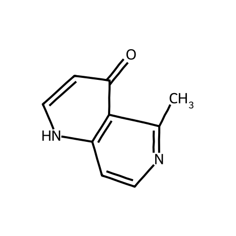 Cc1nccc2[nH]ccc(=O)c12